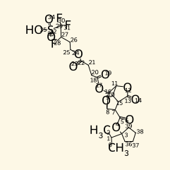 CC(C)C1(OC(=O)C2C3OC4C(OC(=O)C42)C3OC(=O)CCC(=O)OCCC(F)C(F)(F)S(=O)(=O)O)CCCC1